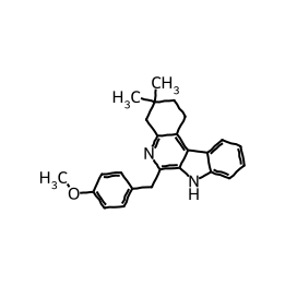 COc1ccc(Cc2nc3c(c4c2[nH]c2ccccc24)CCC(C)(C)C3)cc1